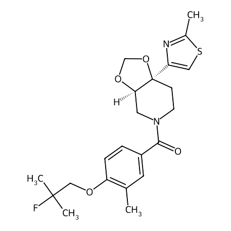 Cc1nc([C@]23CCN(C(=O)c4ccc(OCC(C)(C)F)c(C)c4)C[C@H]2OCO3)cs1